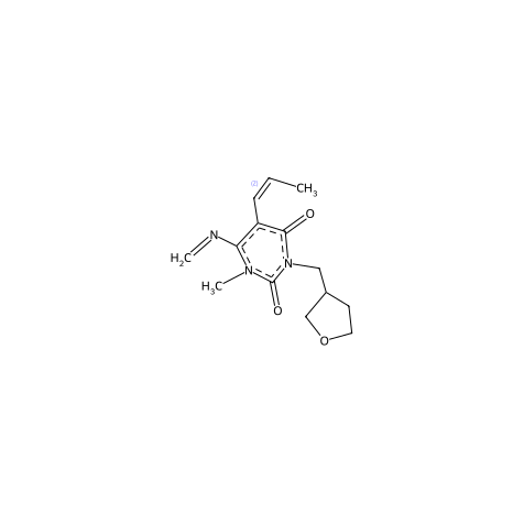 C=Nc1c(/C=C\C)c(=O)n(CC2CCOC2)c(=O)n1C